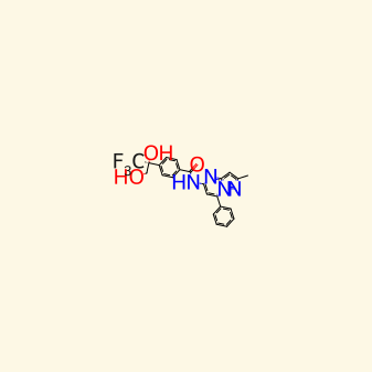 Cc1cc2nc(NC(=O)c3ccc([C@](O)(CO)C(F)(F)F)cc3)cc(-c3ccccc3)n2n1